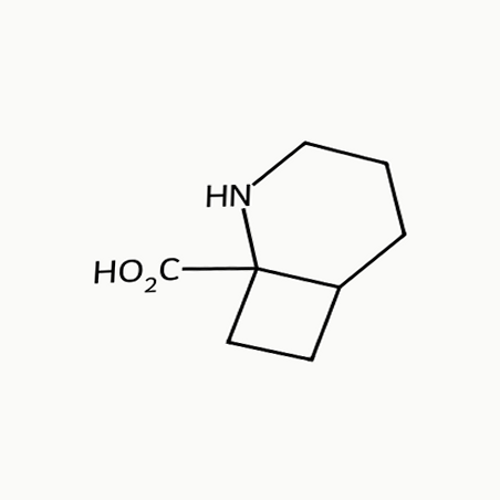 O=C(O)C12CCC1CCCN2